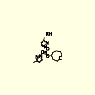 Cc1ccn(OB(OC2CCCCCCC2)On2ccc(C)n2)n1.[KH]